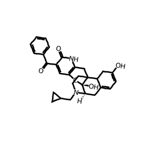 O=C(c1ccccc1)c1cc2c([nH]c1=O)CC13CCN(CC4CC4)[C@H](CC4=CC=C(O)CC41)[C@]3(O)C2